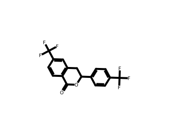 O=C1OC(c2ccc(C(F)(F)F)cc2)Cc2cc(C(F)(F)F)ccc21